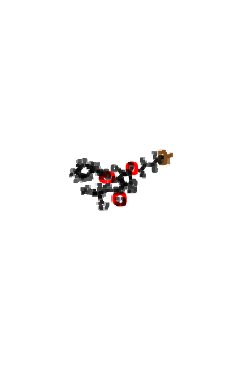 Cc1c(OCCCCBr)ccc(C(=O)CC(C)C)c1OCc1ccccc1